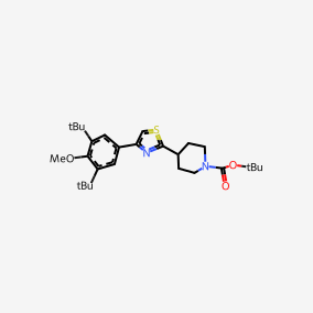 COc1c(C(C)(C)C)cc(-c2csc(C3CCN(C(=O)OC(C)(C)C)CC3)n2)cc1C(C)(C)C